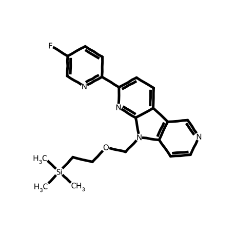 C[Si](C)(C)CCOCn1c2ccncc2c2ccc(-c3ccc(F)cn3)nc21